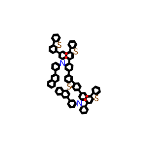 c1cc(-c2ccc3ccccc3c2)cc(N(c2cccc(-c3ccc4c(c3)sc3ccc(-c5ccc(-c6ccc7c(c6)sc6ccccc67)c(N(c6cccc(-c7ccc8ccccc8c7)c6)c6cccc(-c7cccc8c7sc7ccccc78)c6)c5)cc34)c2)c2ccccc2-c2ccc3c(c2)sc2ccccc23)c1